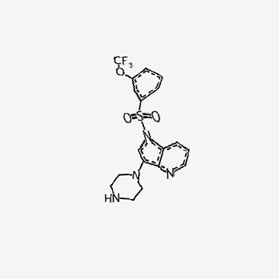 O=S(=O)(c1cccc(OC(F)(F)F)c1)n1cc(N2CCNCC2)c2ncccc21